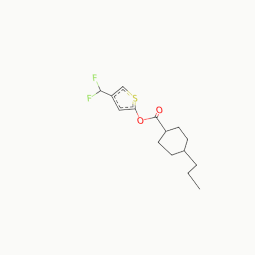 CCCC1CCC(C(=O)Oc2cc(C(F)F)cs2)CC1